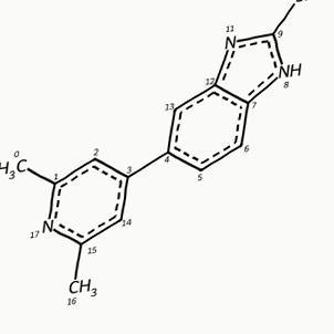 Cc1cc(-c2ccc3[nH]c(S)nc3c2)cc(C)n1